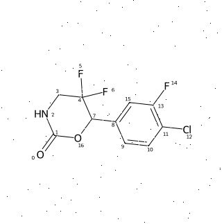 O=C1NCC(F)(F)C(c2ccc(Cl)c(F)c2)O1